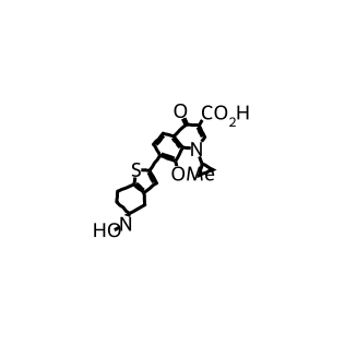 COc1c(-c2cc3c(s2)CCC(=NO)C3)ccc2c(=O)c(C(=O)O)cn(C3CC3)c12